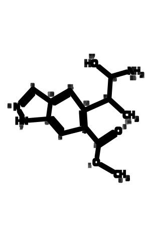 COC(=O)c1cc2[nH]ncc2cc1C(C)C(N)O